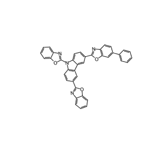 c1ccc(-c2ccc3nc(-c4ccc5c(c4)c4cc(-c6nc7ccccc7o6)ccc4n5-c4nc5ccccc5o4)oc3c2)cc1